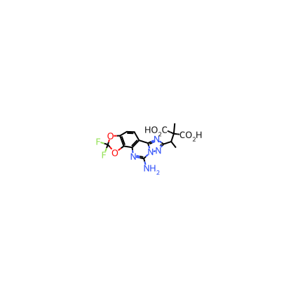 CC(c1nc2c3ccc4c(c3nc(N)n2n1)OC(F)(F)O4)C(C)(C(=O)O)C(=O)O